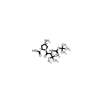 CC(C)(C)OC(=O)N[C@H](C(=O)N1C[C@H](N)C[C@H]1C(=O)O)C(C)(C)C